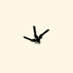 CCCCCCCCCCCCOc1ccc(COc2cc(CO)cc(OCc3ccc(OCCCCCCCCCCCC)cc3)c2OCc2ccc(OCCCCCCCCCCCC)cc2)cc1